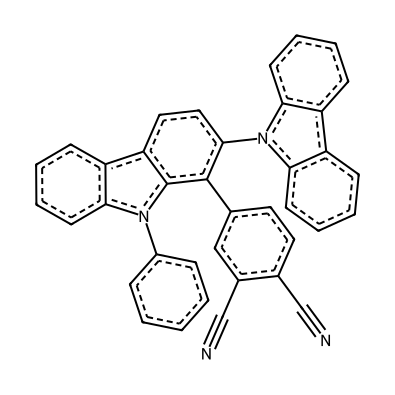 N#Cc1ccc(-c2c(-n3c4ccccc4c4ccccc43)ccc3c4ccccc4n(-c4ccccc4)c23)cc1C#N